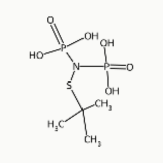 CC(C)(C)SN(P(=O)(O)O)P(=O)(O)O